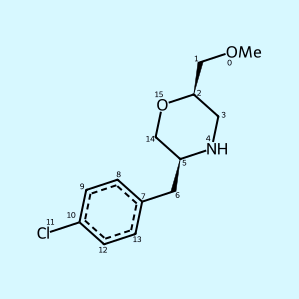 COC[C@H]1CN[C@@H](Cc2ccc(Cl)cc2)CO1